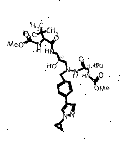 COC(=O)NC(C(=O)NC[C@@H](O)CN(Cc1ccc(-c2cnn(C3CC3)c2)cc1)NC(=O)[C@@H](NC(=O)OC)C(C)(C)C)C(C)(C)C(F)(F)F